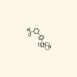 CN(C)C(=O)c1cccc(-c2ccc(C(=O)N3CCN4CC[C@@H]3C4)s2)c1